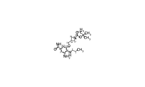 CCCNc1c(N)cc(C(N)=O)cc1OCC1CN(C(=O)OC(C)(C)C)C1